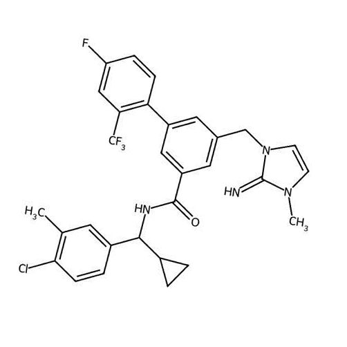 Cc1cc(C(NC(=O)c2cc(Cn3ccn(C)c3=N)cc(-c3ccc(F)cc3C(F)(F)F)c2)C2CC2)ccc1Cl